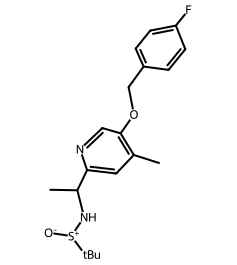 Cc1cc(C(C)N[S+]([O-])C(C)(C)C)ncc1OCc1ccc(F)cc1